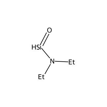 CCN(CC)[SiH]=O